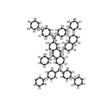 c1ccc(-c2ccc(N(c3ccc(-c4ccccc4)cc3)c3ccc4c(-c5ccc6ccccc6c5)c5cc(N(c6ccc(-c7ccccc7)cc6)c6ccc(-c7ccccc7)cc6)ccc5c(-c5ccccc5)c4c3)cc2)cc1